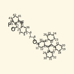 O=C(c1ccc(CCCOc2ccc(C(=C(c3ccccc3)c3ccccc3)c3ccccc3)cc2)cc1)c1c(F)cccc1F